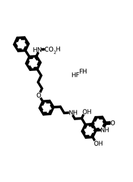 F.F.O=C(O)Nc1cc(CCCOc2cccc(CCNCC(O)c3ccc(O)c4[nH]c(=O)ccc34)c2)ccc1-c1ccccc1